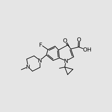 CN1CCN(c2cc3c(cc2F)c(=O)c(C(=O)O)cn3C2(C)CC2)CC1